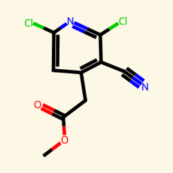 COC(=O)Cc1cc(Cl)nc(Cl)c1C#N